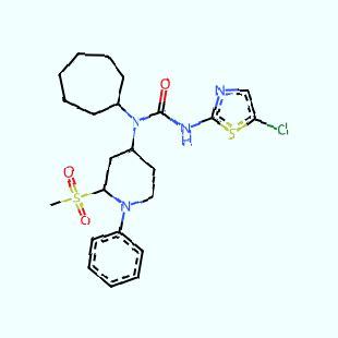 CS(=O)(=O)C1CC(N(C(=O)Nc2ncc(Cl)s2)C2CCCCCC2)CCN1c1ccccc1